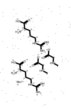 CNCC(=O)[O-].CNCC(=O)[O-].N=C(N)NCCC[C@H](N)C(=O)O.N=C(N)NCCC[C@H](N)C(=O)O.[Mn+2]